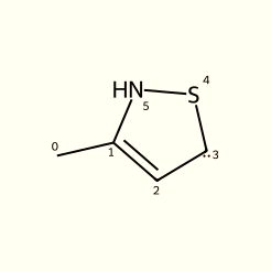 CC1=C[C]SN1